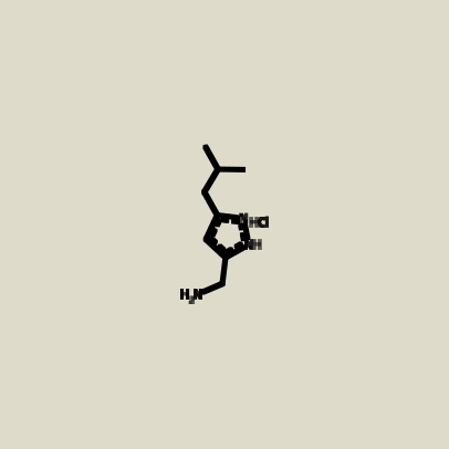 CC(C)Cc1cc(CN)[nH]n1.Cl